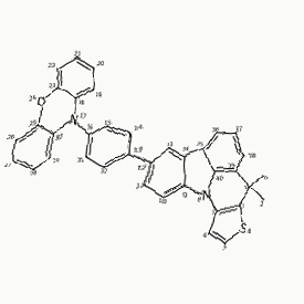 CC1(C)c2sccc2-n2c3ccc(-c4ccc(N5c6ccccc6Oc6ccccc65)cc4)cc3c3cccc1c32